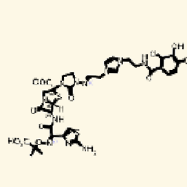 CC(C)(O/N=C(\C(=O)N[C@@H]1C(=O)N2C[C@@](C(=O)[O-])(N3CCN(/N=C/C[n+]4ccn(CCNC(=O)c5ccc(O)c(O)c5Cl)c4)C3=O)S[C@H]12)c1csc(N)n1)C(=O)O